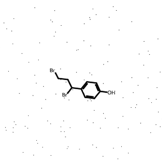 Oc1ccc(C(Br)CCBr)cc1